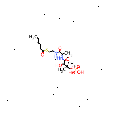 CCCCCC(=O)SCCNC(=O)C(C)NC(=O)[C@@H](O)C(C)(C)COP(=O)(O)O